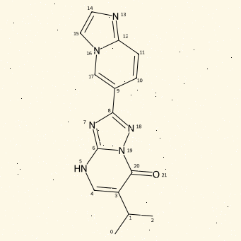 CC(C)c1c[nH]c2nc(-c3ccc4nccn4c3)nn2c1=O